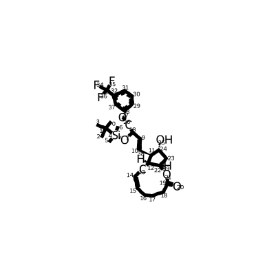 CC(C)(C)[Si](C)(C)OC(/C=C/[C@@H]1[C@H]2C/C=C\CCCC(=O)O[C@H]2C[C@H]1O)COc1cccc(C(F)(F)F)c1